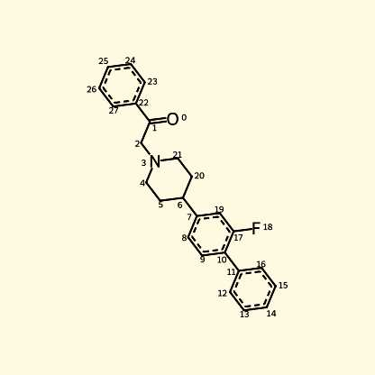 O=C(CN1CCC(c2ccc(-c3ccccc3)c(F)c2)CC1)c1ccccc1